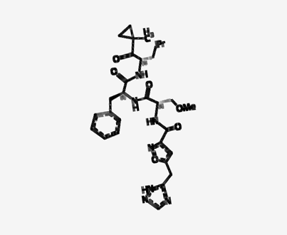 COC[C@H](NC(=O)c1cc(Cc2ncn[nH]2)on1)C(=O)N[C@@H](Cc1ccccc1)C(=O)N[C@@H](CC(C)C)C(=O)C1(C)CC1